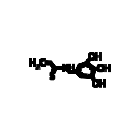 C=CC(=S)NCc1cc(O)c(O)c(O)c1